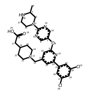 CC1CN(c2ncc(Oc3cc(CN4CCC(CC(=O)O)CC4)cc(-c4cc(Cl)cc(Cl)c4)n3)cn2)CCN1